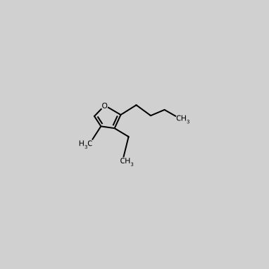 CCCCc1occ(C)c1CC